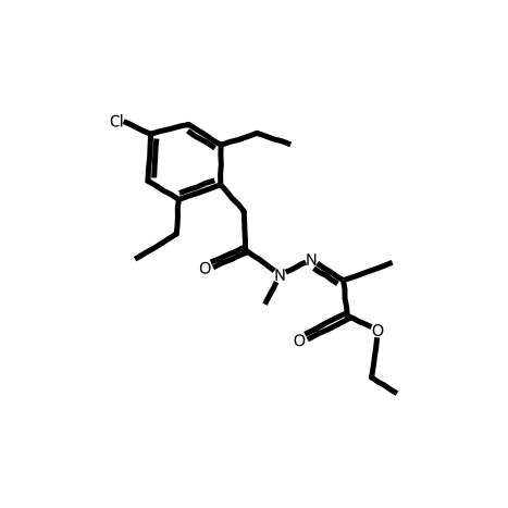 CCOC(=O)/C(C)=N\N(C)C(=O)Cc1c(CC)cc(Cl)cc1CC